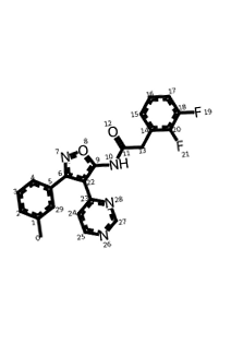 Cc1cccc(-c2noc(NC(=O)Cc3cccc(F)c3F)c2-c2ccncn2)c1